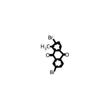 Cc1c(Br)ccc2c1C(=O)c1cc(Br)ccc1C2=O